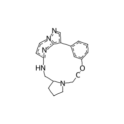 c1cc2cc(c1)-c1cnn3ccc(nc13)NCC1CCCN1CCO2